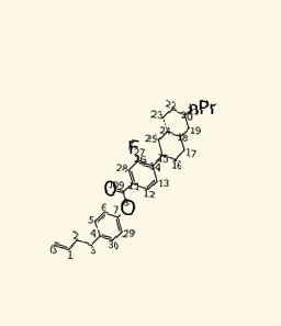 C=CCCc1ccc(OC(=O)c2ccc(C3CCC4CC(CCC)CCC4C3)c(F)c2)cc1